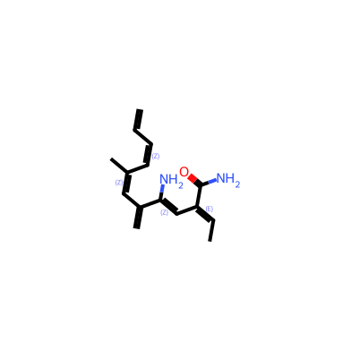 C=C/C=C\C(C)=C/C(=C)/C(N)=C/C(=C\C)C(N)=O